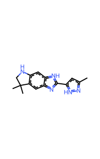 Cc1cc(-c2nc3cc4c(cc3[nH]2)NCC4(C)C)[nH]n1